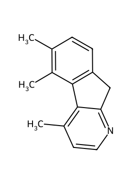 Cc1ccc2c(c1C)-c1c(C)ccnc1C2